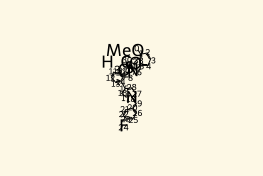 COc1cccc(CN(Cc2ccccc2C2CCN(Cc3ccc(F)cc3)CC2)S(C)(=O)=O)c1